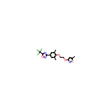 Cc1cc(OCCOc2c(C)cc(-c3noc(C(F)(F)F)n3)cc2C)ns1